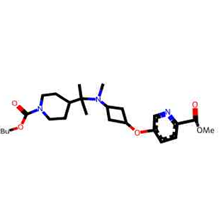 COC(=O)c1ccc(OC2CC(N(C)C(C)(C)C3CCN(C(=O)OC(C)(C)C)CC3)C2)cn1